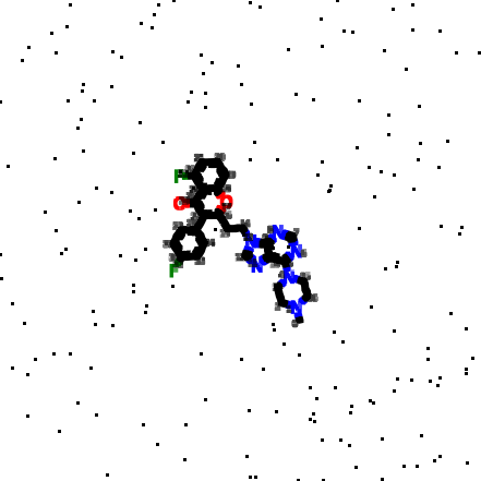 CN1CCN(c2ncnc3c2ncn3CCc2oc3cccc(F)c3c(=O)c2-c2ccc(F)cc2)CC1